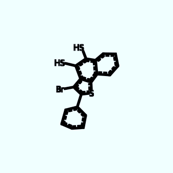 Sc1c(S)c2c(Br)c(-c3ccccc3)sc2c2ccccc12